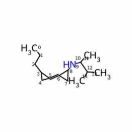 CCCC1C/C1=C1\CC1NC(C)C(C)C